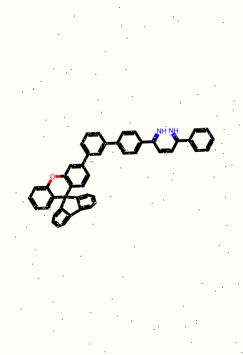 N=C(/C=C\C(=N)c1ccc(-c2cccc(-c3ccc4c(c3)Oc3ccccc3C43c4ccccc4-c4ccccc43)c2)cc1)c1ccccc1